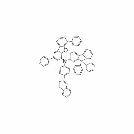 c1ccc(-c2cc(N(c3ccc(-c4ccc5ccccc5c4)cc3)c3ccc4c(c3)C(c3ccccc3)(c3ccccc3)c3ccccc3-4)c3oc4c(-c5ccccc5)cccc4c3c2)cc1